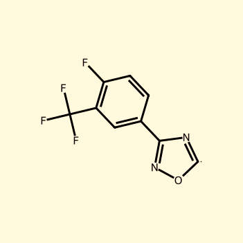 Fc1ccc(-c2n[c]on2)cc1C(F)(F)F